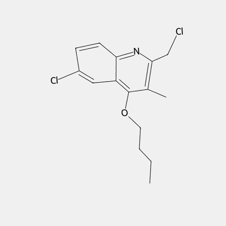 CCCCOc1c(C)c(CCl)nc2ccc(Cl)cc12